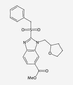 COC(=O)c1ccc2nc(S(=O)(=O)Cc3ccccc3)n(CC3CCCO3)c2c1